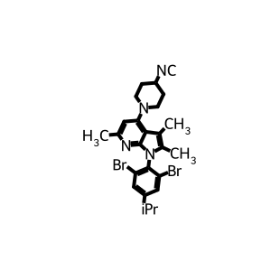 [C-]#[N+]C1CCN(c2cc(C)nc3c2c(C)c(C)n3-c2c(Br)cc(C(C)C)cc2Br)CC1